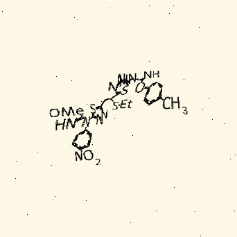 CCSC(Cc1nnc(N(C(=N)OC)c2ccc([N+](=O)[O-])cc2)s1)c1nnc(NC(=N)Oc2ccc(C)cc2)s1